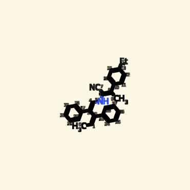 C/C=C(\C(=C/N/C(C#N)=C(\C)c1ccc(CC)cc1)c1ccccc1)c1ccccc1